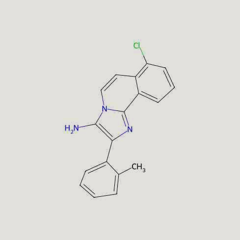 Cc1ccccc1-c1nc2c3cccc(Cl)c3ccn2c1N